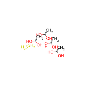 C=C(O)O.C=C(O)O.C=C(O)O.C=C(O)O.S.S